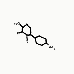 NC1CCC(C2CCC(O)C(F)C2F)CC1